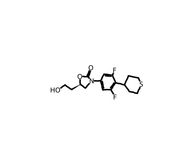 O=C1O[C@H](CCO)CN1c1cc(F)c(C2CCSCC2)c(F)c1